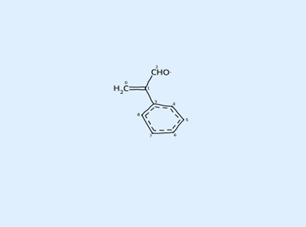 C=C([C]=O)c1ccccc1